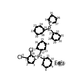 Clc1cc[c-](P(c2ccccc2)c2ccccc2)c1Cl.[Fe+2].[Ra].c1ccc(P(c2ccccc2)[c-]2cccc2)cc1